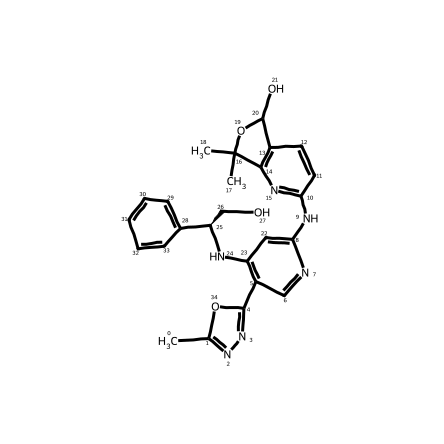 Cc1nnc(-c2cnc(Nc3ccc4c(n3)C(C)(C)OC4O)cc2N[C@H](CO)c2ccccc2)o1